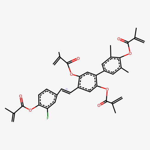 C=C(C)C(=O)Oc1ccc(/C=C/c2cc(OC(=O)C(=C)C)c(-c3cc(C)c(OC(=O)C(=C)C)c(C)c3)cc2OC(=O)C(=C)C)cc1F